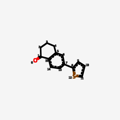 O=C1CCCc2cc(-c3cccs3)ccc21